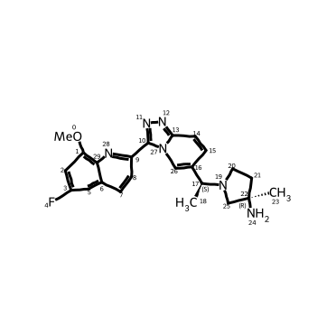 COc1cc(F)cc2ccc(-c3nnc4ccc([C@H](C)N5CC[C@@](C)(N)C5)cn34)nc12